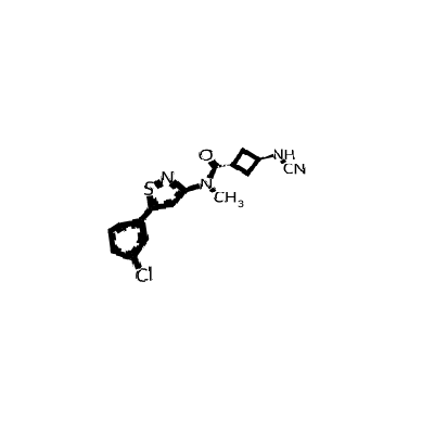 CN(c1cc(-c2cccc(Cl)c2)sn1)C(=O)[C@H]1C[C@H](NC#N)C1